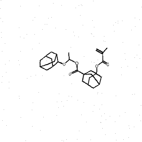 C=C(C)C(=O)OC12CC3CC(C1)CC(C(=O)OC(C)OC1C4CC5CC(C4)CC1C5)(C3)C2